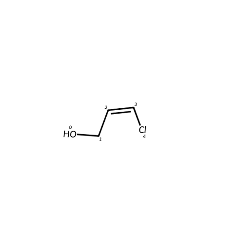 OC/C=C\Cl